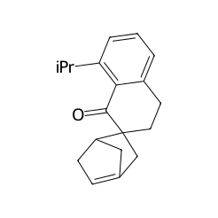 CC(C)c1cccc2c1C(=O)C1(CC2)CC2=CCC1C2